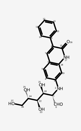 O=C[C@@H](Nc1ccc2cc(-c3ccccc3)c(=O)[nH]c2c1)[C@H](O)[C@@H](O)[C@@H](O)CO